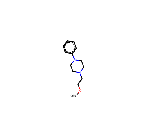 O=[C]OCCN1CCN(c2ccccc2)CC1